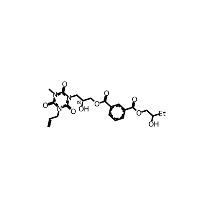 C=CCn1c(=O)n(C)c(=O)n(C[C@H](O)COC(=O)c2cccc(C(=O)OCC(O)CC)c2)c1=O